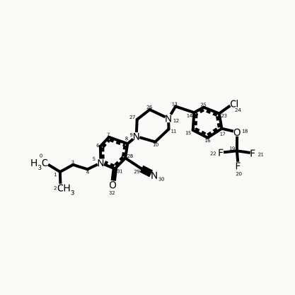 CC(C)CCn1ccc(N2CCN(Cc3ccc(OC(F)(F)F)c(Cl)c3)CC2)c(C#N)c1=O